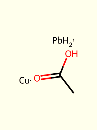 CC(=O)O.[Cu].[PbH2]